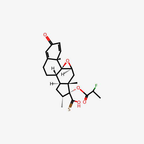 CC(F)C(=O)O[C@]1(C(O)=S)[C@H](C)C[C@H]2[C@@H]3CCC4=CC(=O)C=C[C@]4(C)[C@@]34O[C@H]4C[C@@]21C